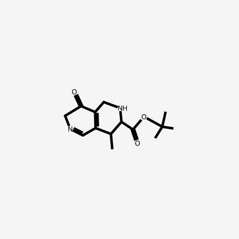 CC1C2=C(CNC1C(=O)OC(C)(C)C)C(=O)CN=C2